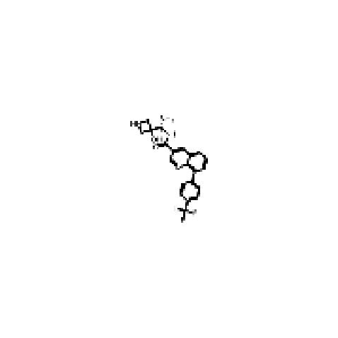 C[C@H](NC(=O)c1cnc2c(-c3ccc(C(F)(F)F)cc3)cccc2c1)C1(O)CNC1